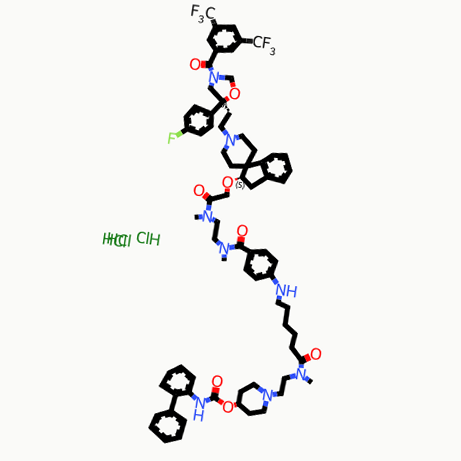 CN(CCN1CCC(OC(=O)Nc2ccccc2-c2ccccc2)CC1)C(=O)CCCCCNc1ccc(C(=O)N(C)CCN(C)C(=O)CO[C@H]2Cc3ccccc3C23CCN(CC[C@]2(c4ccc(F)cc4)CN(C(=O)c4cc(C(F)(F)F)cc(C(F)(F)F)c4)CO2)CC3)cc1.Cl.Cl.Cl